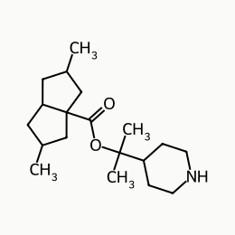 CC1CC2CC(C)CC2(C(=O)OC(C)(C)C2CCNCC2)C1